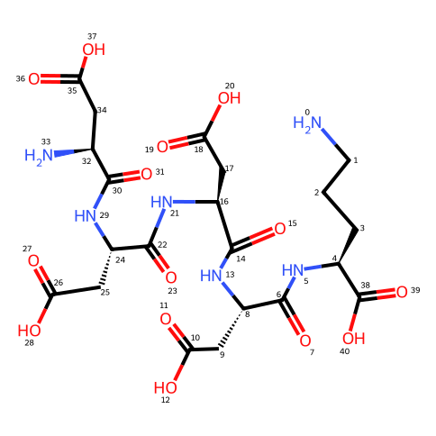 NCCC[C@H](NC(=O)[C@H](CC(=O)O)NC(=O)[C@H](CC(=O)O)NC(=O)[C@H](CC(=O)O)NC(=O)[C@@H](N)CC(=O)O)C(=O)O